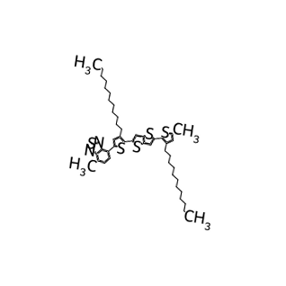 CCCCCCCCCCCCc1cc(C)sc1-c1cc2sc(-c3sc(-c4ccc(C)c5nsnc45)cc3CCCCCCCCCCCC)cc2s1